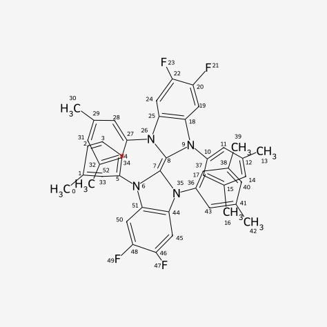 Cc1cccc(N2C(=C3N(c4cc(C)cc(C)c4)c4cc(F)c(F)cc4N3c3cc(C)cc(C)c3)N(c3cc(C)cc(C)c3)c3cc(F)c(F)cc32)c1